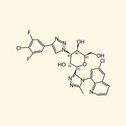 Cc1nnc([C@@H]2O[C@H](CO)[C@H](O)[C@H](n3cc(-c4cc(F)c(Cl)c(F)c4)nn3)[C@H]2O)n1-c1cc(Cl)cc2cccnc12